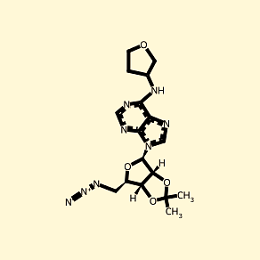 CC1(C)O[C@@H]2[C@H](O1)[C@@H](CN=[N+]=[N-])O[C@H]2n1cnc2c(NC3CCOC3)ncnc21